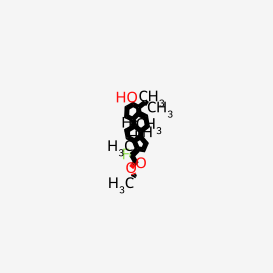 CCOC(=O)C(F)=C1CC[C@H]2[C@@H]3CC=C4C(C(C)C)[C@@H](O)CC[C@]4(C)[C@H]3CC[C@]12C